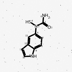 NC(=O)N(S)c1ccc2[nH]ccc2c1